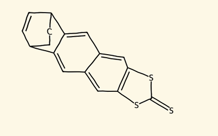 S=c1sc2cc3cc4c(cc3cc2s1)C1C=CC4CC1